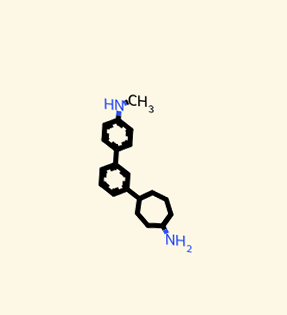 CNc1ccc(-c2cccc(C3CCCC(N)CC3)c2)cc1